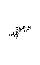 CCC(=O)c1cc(C)cc(C)c1NC(=O)c1scc(C)c1S(=O)(=O)CC=CNc1onc(C)c1Cl